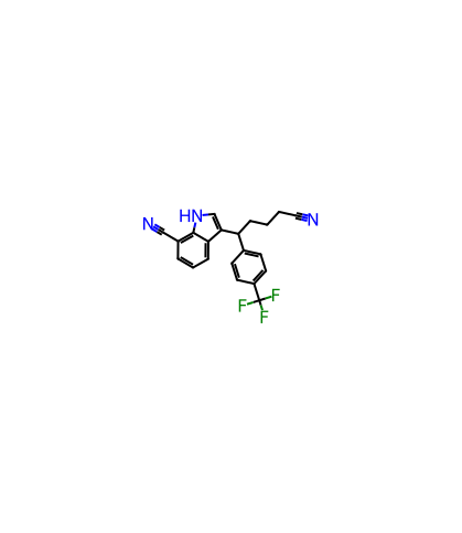 N#CCCCC(c1ccc(C(F)(F)F)cc1)c1c[nH]c2c(C#N)cccc12